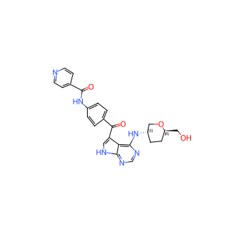 O=C(Nc1ccc(C(=O)c2c[nH]c3ncnc(N[C@H]4CC[C@H](CO)OC4)c23)cc1)c1ccncc1